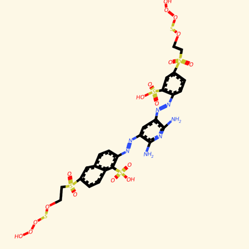 Nc1nc(N)c(/N=N/c2ccc3cc(S(=O)(=O)CCOSOOO)ccc3c2S(=O)(=O)O)cc1/N=N/c1ccc(S(=O)(=O)CCOSOOO)cc1S(=O)(=O)O